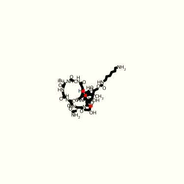 CC[C@H](C)[C@@H]1NC(=O)CNC(=O)C2Cc3c([nH]c4cc(O)ccc34)SCC(NC(=O)CNC1=O)C(=O)N[C@@H](CC(N)=O)C(=O)N1CC(O)C[C@H]1C(=O)N[C@@H]([C@@H](C)[C@@H](O)COC(=O)NCCCCCCN)C(=O)N2